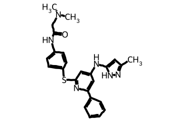 Cc1cc(Nc2cc(Sc3ccc(NC(=O)CN(C)C)cc3)nc(-c3ccccc3)c2)[nH]n1